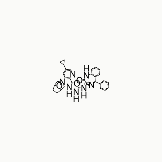 N=C(N[C@H]1N=C(c2ccccc2)c2ccccc2NC1=O)OC(=N)c1ncc(C2CC2)cc1N1CC2CCC(C1)O2